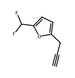 C#C[CH]c1ccc(C(F)F)o1